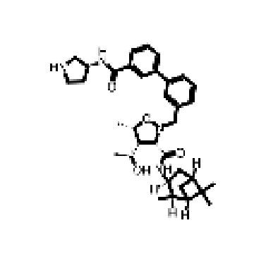 C[C@@H]1[C@@H](NC(=O)[C@@H]2[C@H]([C@H](C)O)[C@H](C)ON2Cc2cccc(-c3cccc(C(=O)N[C@H]4CCNC4)c3)c2)C[C@H]2C[C@@H]1C2(C)C